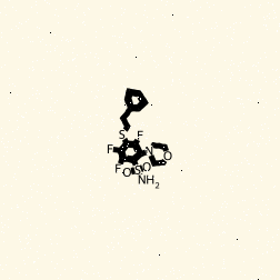 NS(=O)(=O)c1c(F)c(F)c(SCCc2ccccc2)c(F)c1N1CCOCC1